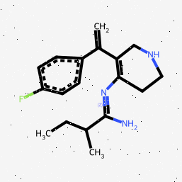 C=C(C1=C(/N=C(\N)C(C)CC)CCNC1)c1ccc(F)cc1